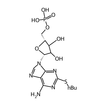 CCCCSc1nc(N)c2ncn([C@@H]3O[C@H](COP(=O)(O)O)C(O)C3O)c2n1